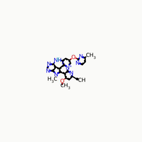 C#Cc1cc(OC)c2c3c(c4c(N)ncnc4n3C)c3c(F)cc(Oc4nccc(C)n4)c[n+]3c2n1